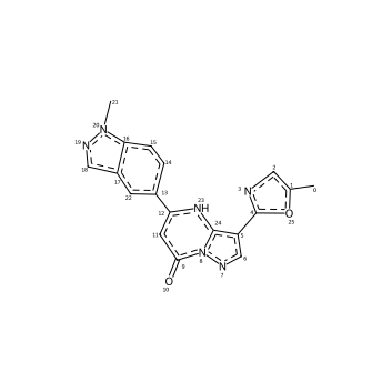 Cc1cnc(-c2cnn3c(=O)cc(-c4ccc5c(cnn5C)c4)[nH]c23)o1